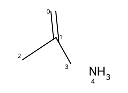 C=C(C)C.N